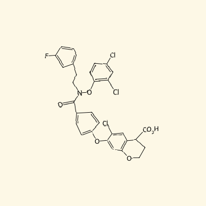 O=C(O)C1CCOc2cc(Oc3ccc(C(=O)N(CCc4cccc(F)c4)Oc4ccc(Cl)cc4Cl)cc3)c(Cl)cc21